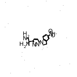 NCC(N)c1ccc(N2CCc3cc([N+](=O)[O-])ccc32)nn1